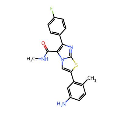 CNC(=O)c1c(-c2ccc(F)cc2)nc2sc(-c3cc(N)ccc3C)cn12